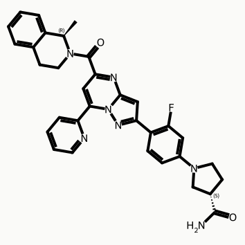 C[C@@H]1c2ccccc2CCN1C(=O)c1cc(-c2ccccn2)n2nc(-c3ccc(N4CC[C@H](C(N)=O)C4)cc3F)cc2n1